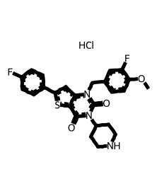 COc1ccc(Cn2c(=O)n(C3CCNCC3)c(=O)c3sc(-c4ccc(F)cc4)cc32)cc1F.Cl